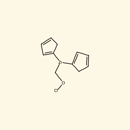 ClO[CH2][Zr]([C]1=CC=CC1)[C]1=CC=CC1